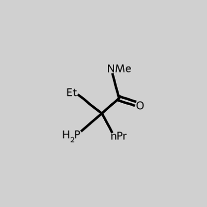 CCCC(P)(CC)C(=O)NC